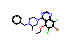 CCOc1c(Cl)c(Br)c(F)c2ncnc(N3CCN(Cc4ccccc4)C(C)C3)c12